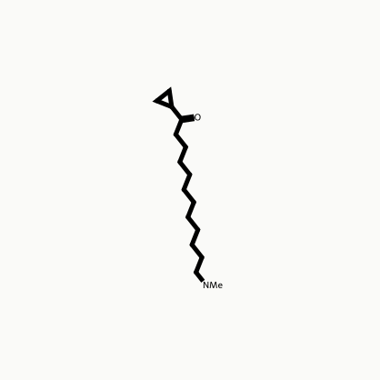 CNCCCCCCCCCCCC(=O)C1CC1